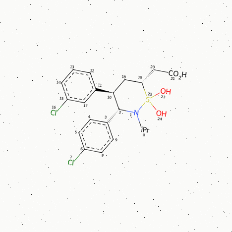 CC(C)N1[C@H](c2ccc(Cl)cc2)[C@@H](c2cccc(Cl)c2)C[C@H](CC(=O)O)S1(O)O